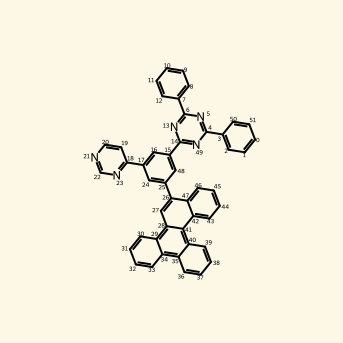 c1ccc(-c2nc(-c3ccccc3)nc(-c3cc(-c4ccncn4)cc(-c4cc5c6ccccc6c6ccccc6c5c5ccccc45)c3)n2)cc1